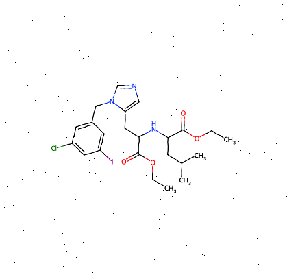 CCOC(=O)C(Cc1cncn1Cc1cc(Cl)cc(I)c1)NC(CC(C)C)C(=O)OCC